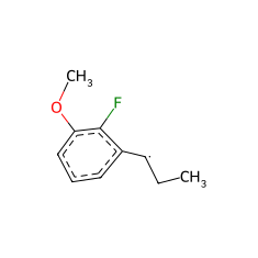 CC[CH]c1cccc(OC)c1F